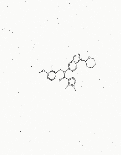 COc1cccc(CN(C(=O)c2ccn(C)c2C)c2ccc3c(cnn3C3CCCCO3)c2)c1C